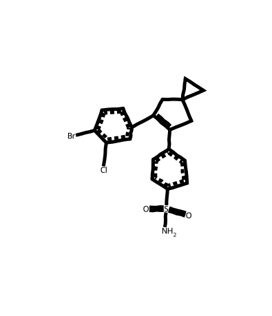 NS(=O)(=O)c1ccc(C2=C(c3ccc(Br)c(Cl)c3)CC3(CC3)C2)cc1